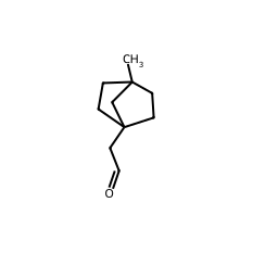 CC12CCC(CC=O)(CC1)C2